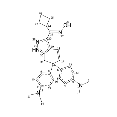 CN(C)c1ccc(C2(c3ccc(N(C)C)cc3)C=Cc3c(C(=NO)C4CCC4)n[nH]c3C2)cc1